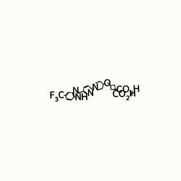 O=C(O)C1(C(=O)O)CC(OC2CCN(c3ccc(-c4nc5cc(C(F)(F)F)ccc5[nH]4)cn3)CC2)C1